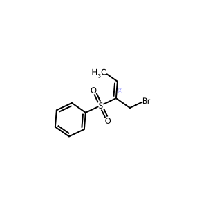 C/C=C(/CBr)S(=O)(=O)c1ccccc1